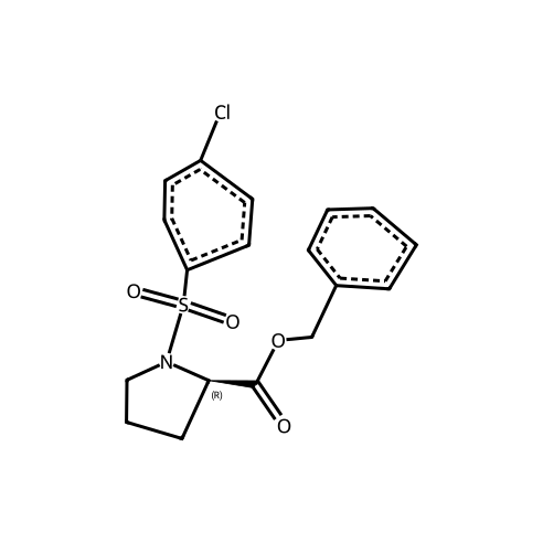 O=C(OCc1ccccc1)[C@H]1CCCN1S(=O)(=O)c1ccc(Cl)cc1